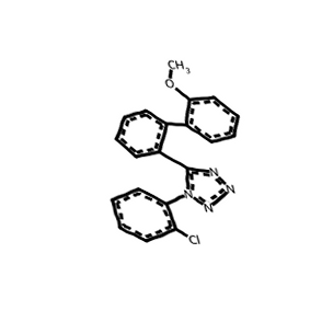 COc1ccccc1-c1ccccc1-c1nnnn1-c1ccccc1Cl